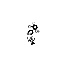 O=S(=O)(NC[C@H]1C[C@@H](c2c(O)ccc(Cl)c2Cl)CCN1)C1CC1